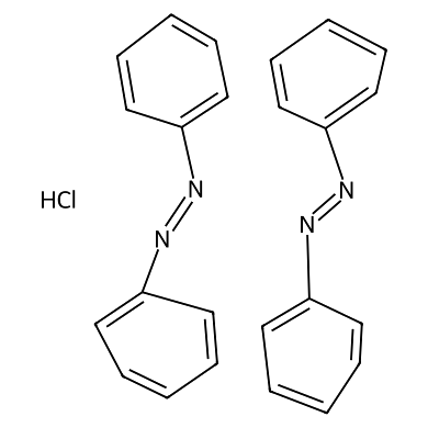 Cl.c1ccc(/N=N/c2ccccc2)cc1.c1ccc(/N=N/c2ccccc2)cc1